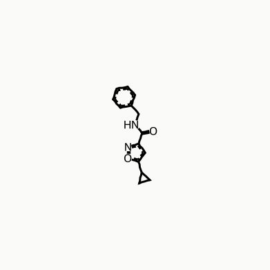 O=C(NCc1ccccc1)c1cc(C2CC2)on1